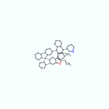 C=Cc1oc2cc3c(cc2c1/C=C\C)C1(c2ccccc2-c2ccc(-c4c5ccccc5c(-c5cccnc5)c5ccccc45)cc21)c1ccccc1-3